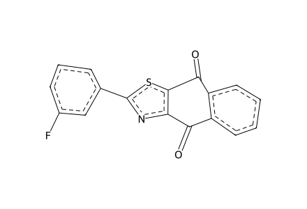 O=C1c2ccccc2C(=O)c2sc(-c3cccc(F)c3)nc21